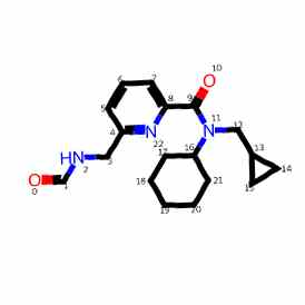 O=CNCc1cccc(C(=O)N(CC2CC2)C2CCCCC2)n1